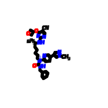 CCC[C@H](CCC/C=C/N(C(=O)NCc1ccccc1)c1ccc(-c2cnn(C)c2)cn1)Nc1ncc(C#N)c(OC2COC2)n1